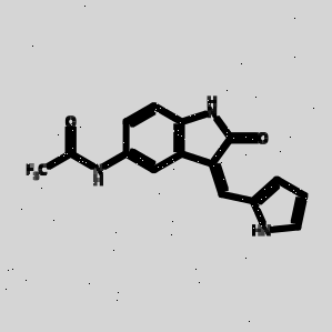 O=C1Nc2ccc(NC(=O)C(F)(F)F)cc2/C1=C/c1ccc[nH]1